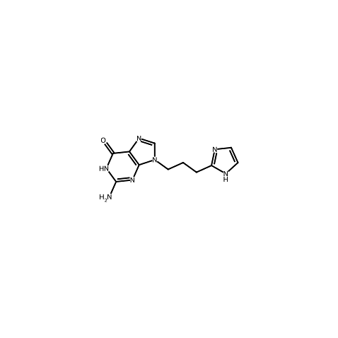 Nc1nc2c(ncn2CCCc2ncc[nH]2)c(=O)[nH]1